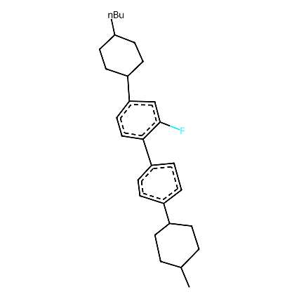 CCCCC1CCC(c2ccc(-c3ccc(C4CCC(C)CC4)cc3)c(F)c2)CC1